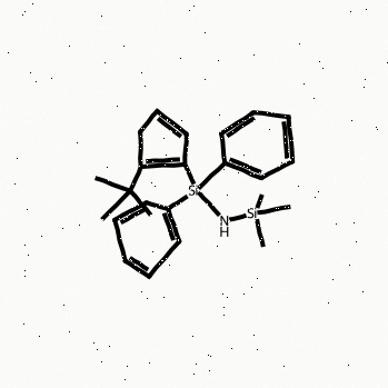 CC(C)(C)C1=C([Si](N[Si](C)(C)C)(c2ccccc2)c2ccccc2)C=CC1